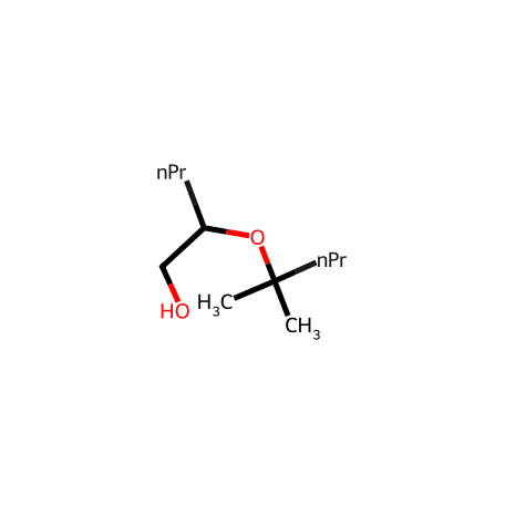 CCCC(CO)OC(C)(C)CCC